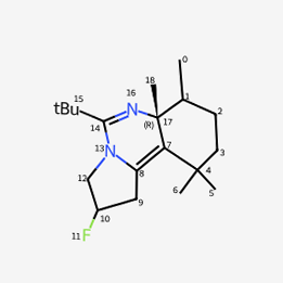 CC1CCC(C)(C)C2=C3CC(F)CN3C(C(C)(C)C)=N[C@@]21C